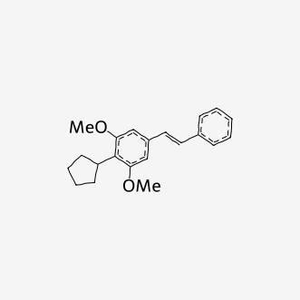 COc1cc(C=Cc2ccccc2)cc(OC)c1C1CCCC1